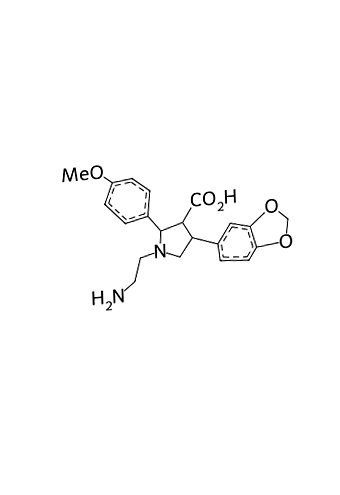 COc1ccc(C2C(C(=O)O)C(c3ccc4c(c3)OCO4)CN2CCN)cc1